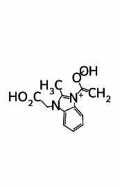 C=C(OO)[n+]1c(C)n(CC(=O)O)c2ccccc21